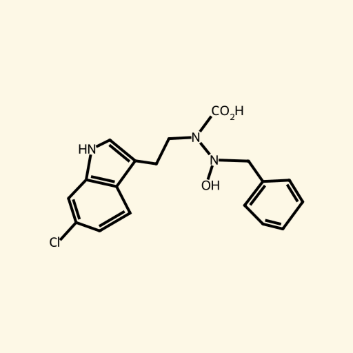 O=C(O)N(CCc1c[nH]c2cc(Cl)ccc12)N(O)Cc1ccccc1